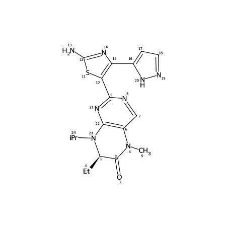 CC[C@@H]1C(=O)N(C)c2cnc(-c3sc(N)nc3-c3ccn[nH]3)nc2N1C(C)C